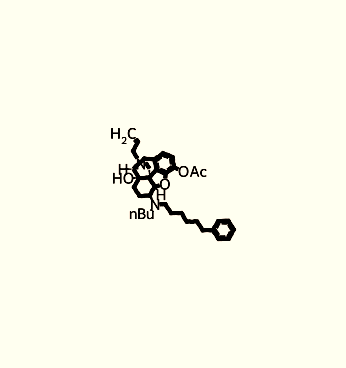 C=CCN1CC[C@]23c4c5ccc(OC(C)=O)c4O[C@H]2[C@@H](N(CCCC)CCCCCCc2ccccc2)CC[C@@]3(O)[C@H]1C5